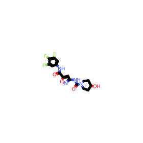 O=C(Nc1cc(F)c(F)c(F)c1)c1cc(NC(=O)N2CCC(O)CC2)no1